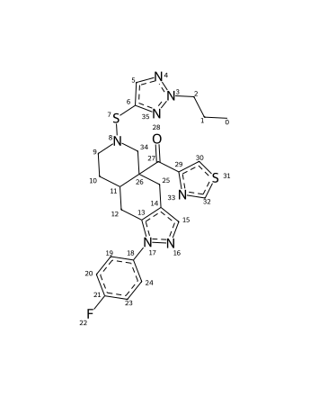 CCCn1ncc(SN2CCC3Cc4c(cnn4-c4ccc(F)cc4)CC3(C(=O)c3cscn3)C2)n1